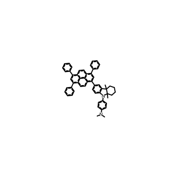 CN(C)c1ccc(N2c3ccc(-c4cc(-c5ccccc5)c5ccc6c(-c7ccccc7)cc(-c7ccccc7)c7ccc4c5c67)cc3C3(C)CCCCC23C)cc1